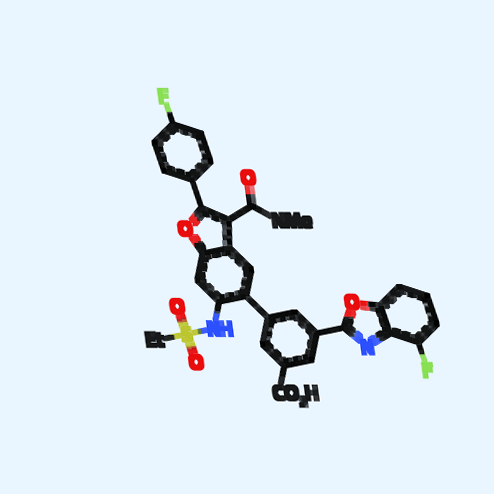 CCS(=O)(=O)Nc1cc2oc(-c3ccc(F)cc3)c(C(=O)NC)c2cc1-c1cc(C(=O)O)cc(-c2nc3c(F)cccc3o2)c1